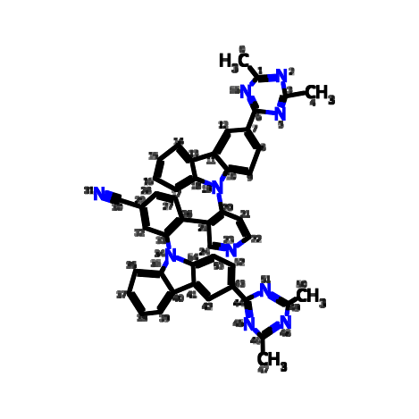 Cc1nc(C)nc(-c2ccc3c(c2)c2ccccc2n3-c2ccncc2-c2ccc(C#N)cc2-n2c3ccccc3c3cc(-c4nc(C)nc(C)n4)ccc32)n1